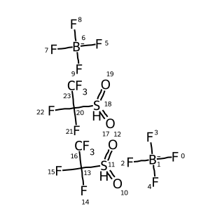 F[B-](F)(F)F.F[B-](F)(F)F.O=[SH](=O)C(F)(F)C(F)(F)F.O=[SH](=O)C(F)(F)C(F)(F)F